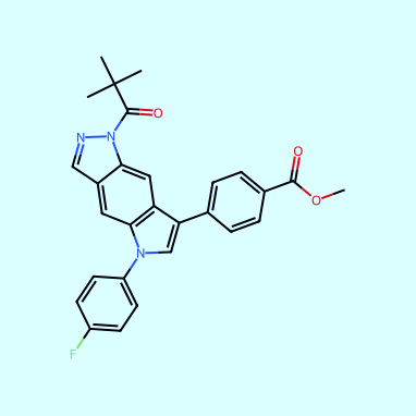 COC(=O)c1ccc(-c2cn(-c3ccc(F)cc3)c3cc4cnn(C(=O)C(C)(C)C)c4cc23)cc1